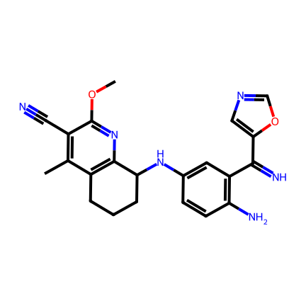 COc1nc2c(c(C)c1C#N)CCCC2Nc1ccc(N)c(C(=N)c2cnco2)c1